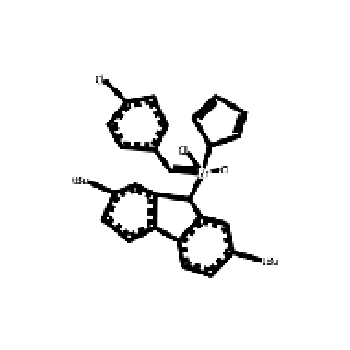 CC(C)(C)c1ccc2c(c1)[CH]([Zr]([Cl])([Cl])(=[CH]c1ccc(Cl)cc1)[CH]1C=CC=C1)c1cc(C(C)(C)C)ccc1-2